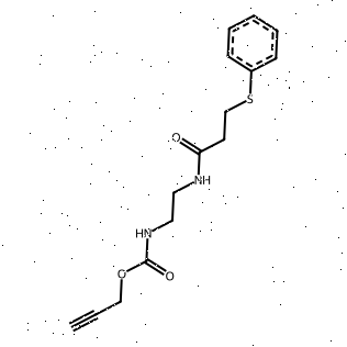 C#CCOC(=O)NCCNC(=O)CCSc1ccccc1